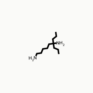 CCCC(N)(CCC)CCCCCN